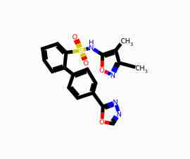 Cc1noc(NS(=O)(=O)c2ccccc2-c2ccc(-c3nnco3)cc2)c1C